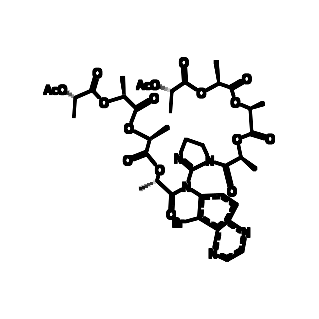 CC(=O)O[C@@H](C)C(=O)O[C@@H](C)C(=O)O[C@@H](C)C(=O)O[C@@H](C)C(=O)N1CCN=C1N(C(=O)[C@H](C)OC(=O)[C@H](C)OC(=O)[C@H](C)OC(=O)[C@H](C)OC(C)=O)c1ccc2nccnc2c1Br